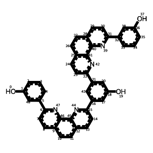 Oc1cccc(-c2ccc3ccc4ccc(-c5cc(O)cc(-c6ccc7ccc8ccc(-c9cccc(O)c9)nc8c7n6)c5)nc4c3n2)c1